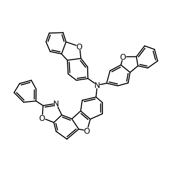 c1ccc(-c2nc3c(ccc4oc5ccc(N(c6ccc7c(c6)oc6ccccc67)c6ccc7c(c6)oc6ccccc67)cc5c43)o2)cc1